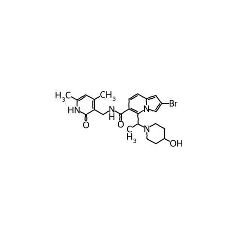 Cc1cc(C)c(CNC(=O)c2ccc3cc(Br)cn3c2C(C)N2CCC(O)CC2)c(=O)[nH]1